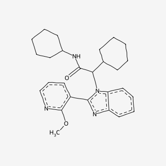 COc1ncccc1-c1nc2ccccc2n1C(C(=O)NC1CCCCC1)C1CCCCC1